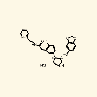 Cl.O=C(Cc1cc([C@@H]2CCNC[C@H]2COc2ccc3c(c2)OCO3)ccc1F)NCCc1ccccn1